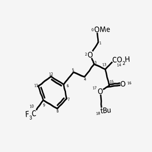 COCOC(CCc1ccc(C(F)(F)F)cc1)C(C(=O)O)C(=O)OC(C)(C)C